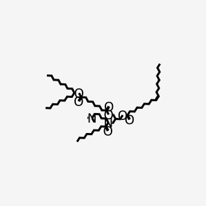 CCCCCCCC/C=C\CCCCCCCC(=O)OCC(COC(=O)CCCCCCC(=O)OC(CCCCCCCC)CCCCCCCC)CN(CCCCN(C)C)C(=O)CCCCCCCC